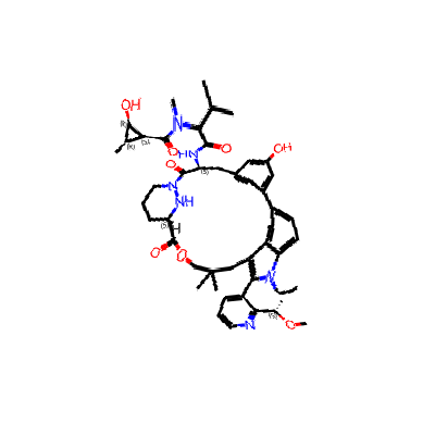 CCn1c(-c2cccnc2[C@H](C)OC)c2c3cc(ccc31)-c1cc(O)cc(c1)C[C@H](NC(=O)C(C(C)C)N(C)C(=O)[C@H]1[C@@H](C)[C@H]1O)C(=O)N1CCC[C@H](N1)C(=O)OCC(C)(C)C2